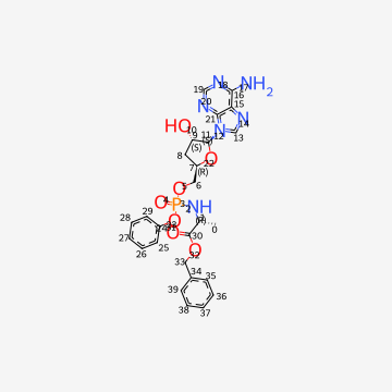 C[C@@H](NP(=O)(OC[C@H]1C[C@H](O)[C@@H](n2cnc3c(N)ncnc32)O1)Oc1ccccc1)C(=O)OCc1ccccc1